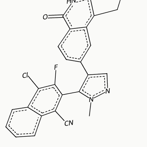 Cn1ncc(-c2ccc3c(=O)[nH]nc(CN)c3c2)c1-c1c(F)c(Cl)c2ccccc2c1C#N